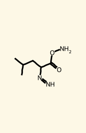 CC(C)CC(N=N)C(=O)ON